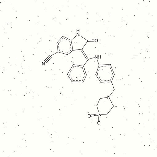 N#Cc1ccc2c(c1)/C(=C(/Nc1ccc(CN3CCS(=O)(=O)CC3)cc1)c1ccccc1)C(=O)N2